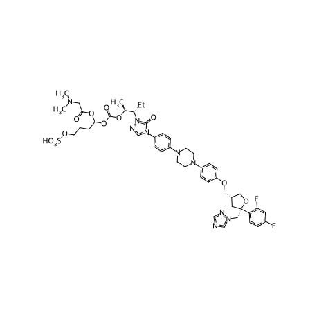 CC[C@@H]([C@H](C)OC(=O)OC(CCCOS(=O)(=O)O)OC(=O)CN(C)C)n1ncn(-c2ccc(N3CCN(c4ccc(OC[C@@H]5CO[C@@](Cn6cncn6)(c6ccc(F)cc6F)C5)cc4)CC3)cc2)c1=O